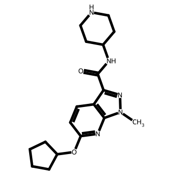 Cn1nc(C(=O)NC2CCNCC2)c2ccc(OC3CCCC3)nc21